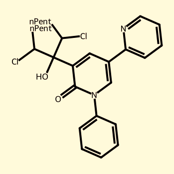 CCCCCC(Cl)C(O)(c1cc(-c2ccccn2)cn(-c2ccccc2)c1=O)C(Cl)CCCCC